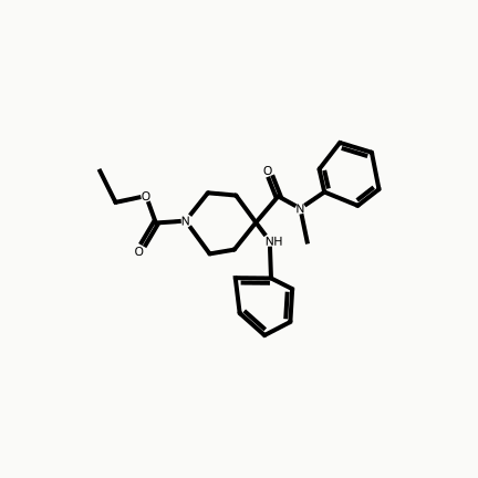 CCOC(=O)N1CCC(Nc2ccccc2)(C(=O)N(C)c2ccccc2)CC1